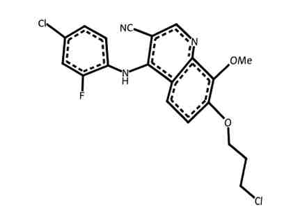 COc1c(OCCCCl)ccc2c(Nc3ccc(Cl)cc3F)c(C#N)cnc12